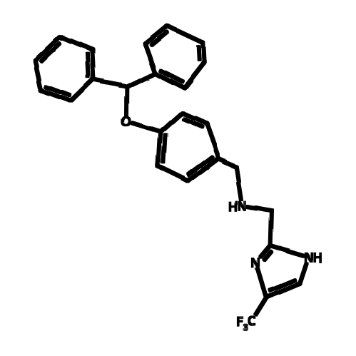 FC(F)(F)c1c[nH]c(CNCc2ccc(OC(c3ccccc3)c3ccccc3)cc2)n1